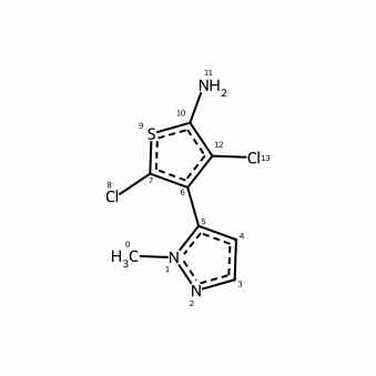 Cn1nccc1-c1c(Cl)sc(N)c1Cl